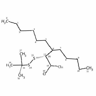 CCCCCCC(CCCCC)[C@@H](SSC(C)(C)C)C(Cl)Cl